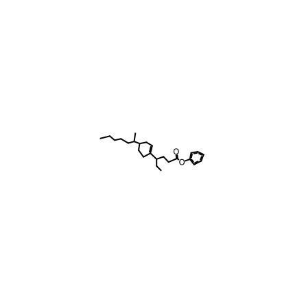 CCCCCC(C)C1CC=C(C(CC)CCC(=O)Oc2ccccc2)CC1